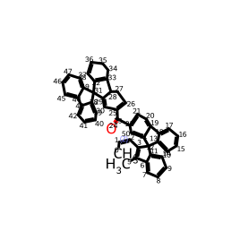 C/C=C\C1=C(C)c2ccccc2C12c1ccccc1-c1ccc(C(=O)C3=CCC4C(=C3)C3(C5=C4CCC=C5)c4ccccc4-c4ccccc43)cc12